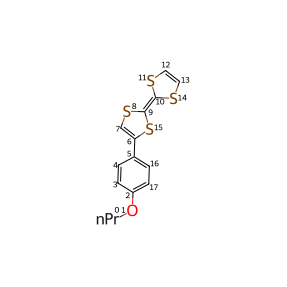 CCCOc1ccc(C2=CSC(=C3SC=CS3)S2)cc1